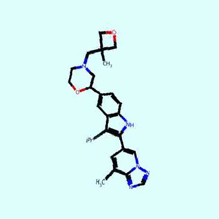 Cc1cc(-c2[nH]c3ccc(C4CN(CC5(C)COC5)CCO4)cc3c2C(C)C)cn2ncnc12